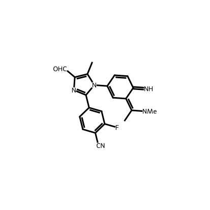 CN/C(C)=C1/C=C(n2c(-c3ccc(C#N)c(F)c3)nc(C=O)c2C)C=CC1=N